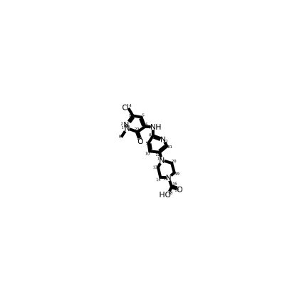 Cn1nc(Cl)cc(Nc2ccc(N3CCN(C(=O)O)CC3)cn2)c1=O